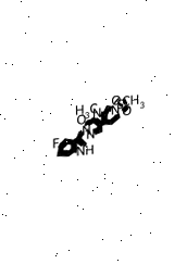 Cn1c2c(c3cnn(Cc4c[nH]c5ccc(F)cc45)c(=O)c31)CCN(S(C)(=O)=O)C2